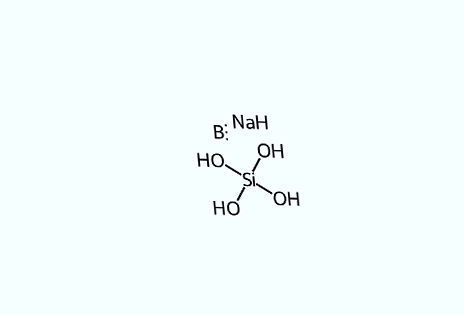 O[Si](O)(O)O.[B].[NaH]